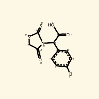 O=C(O)C(c1ccc(Cl)cc1)N1C(=O)CSC1=S